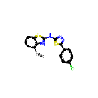 COc1cccc2sc(Nc3nnc(-c4ccc(Cl)cc4)s3)nc12